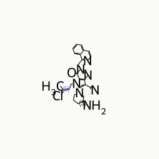 C/C(Cl)=C\Cn1c(N2CCC[C@H](N)C2)c(C#N)c2ncn(Cc3nccc4ccccc34)c(=O)c21